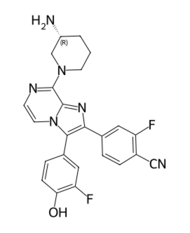 N#Cc1ccc(-c2nc3c(N4CCC[C@@H](N)C4)nccn3c2-c2ccc(O)c(F)c2)cc1F